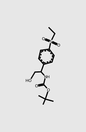 CCS(=O)(=O)c1ccc(C(CO)NC(=O)OC(C)(C)C)cc1